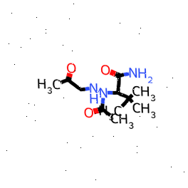 CC(=O)CNN(C(C)=O)C(C(N)=O)C(C)(C)C